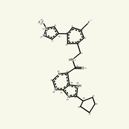 O=C(NCc1cc(F)cc(-c2cnn(C(F)(F)F)c2)c1)c1ncnc2nc(C3CCCC3)[nH]c12